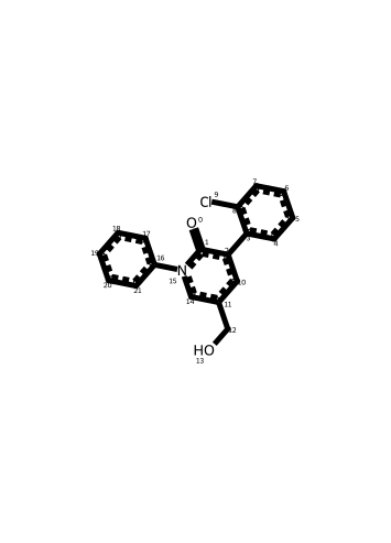 O=c1c(-c2ccccc2Cl)cc(CO)cn1-c1ccccc1